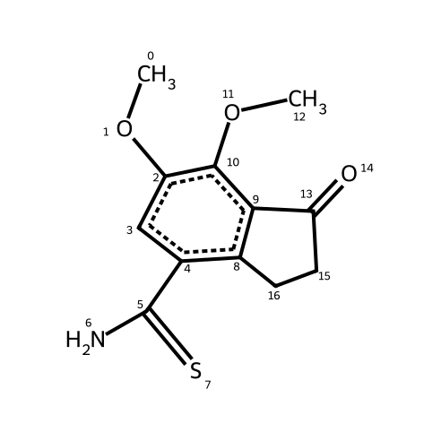 COc1cc(C(N)=S)c2c(c1OC)C(=O)CC2